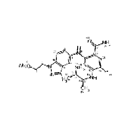 COCCn1ncc2cc(Nc3nc(N[C@@H](C)[C@@H](C)N)c(F)cc3C(N)=O)ccc21